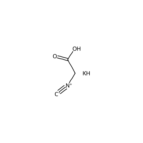 [C-]#[N+]CC(=O)O.[KH]